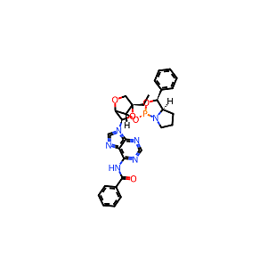 CC[C@@]12COC([C@H](n3cnc4c(NC(=O)c5ccccc5)ncnc43)O1)[C@H]2O[P@]1O[C@@H](c2ccccc2)[C@H]2CCCN21